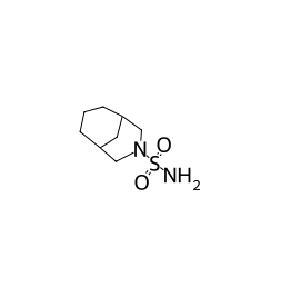 NS(=O)(=O)N1CC2CCCC(C2)C1